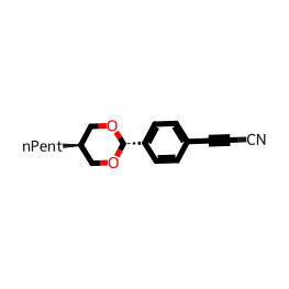 CCCCC[C@H]1CO[C@H](c2ccc(C#CC#N)cc2)OC1